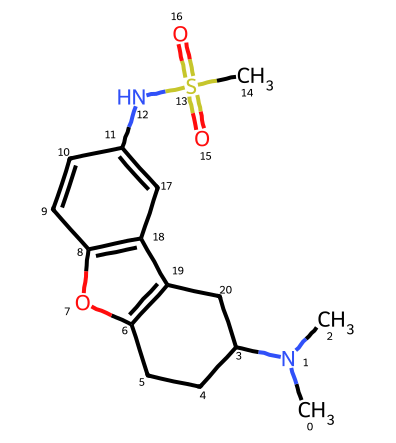 CN(C)C1CCc2oc3ccc(NS(C)(=O)=O)cc3c2C1